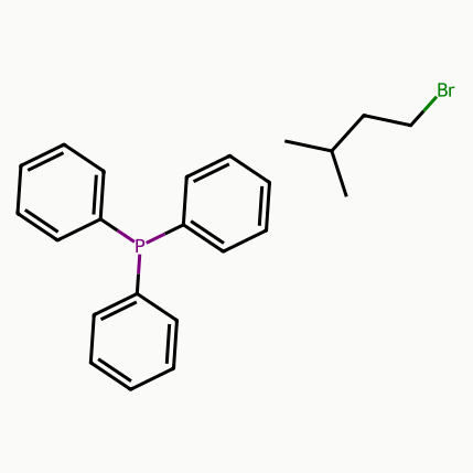 CC(C)CCBr.c1ccc(P(c2ccccc2)c2ccccc2)cc1